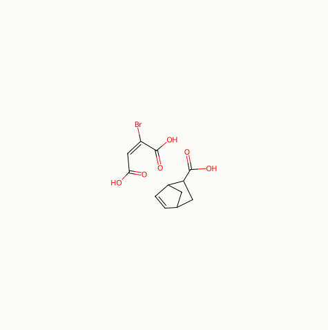 O=C(O)/C=C(/Br)C(=O)O.O=C(O)C1CC2C=CC1C2